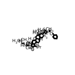 CC(C)C1=C2[C@H]3CC[C@@H]4[C@]5(C)CC[C@H]([C@@]6(C(=O)O)C[C@@H](C(=O)OCc7ccccc7)C6(C)C)C(C)(C)[C@H]5CC[C@@]4(C)[C@]3(C)CC[C@@]2(NC(=O)C(C)(C)NCCN(C)C)CC1=O